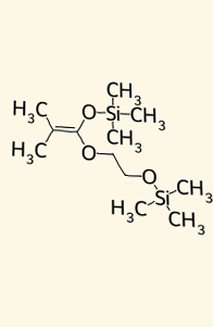 CC(C)=C(OCCO[Si](C)(C)C)O[Si](C)(C)C